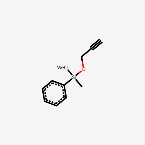 C#CCO[Si](C)(OC)c1ccccc1